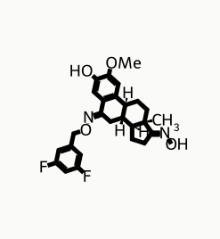 COc1cc2c(cc1O)/C(=N/OCc1cc(F)cc(F)c1)C[C@@H]1[C@@H]2CC[C@]2(C)/C(=N/O)CC[C@@H]12